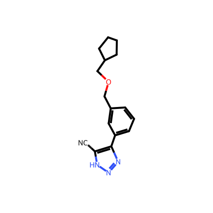 N#Cc1[nH]nnc1-c1cccc(COCC2CCCC2)c1